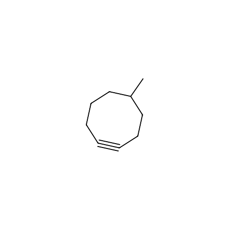 CC1CCC#CCCC1